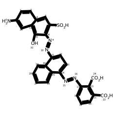 Nc1ccc2cc(S(=O)(=O)O)c(N=Nc3ccc(N=Nc4cccc(C(=O)O)c4C(=O)O)c4ccccc34)c(O)c2c1